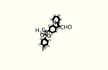 CN(C1CCc2c(C=O)c3ccccn3c2C1)S(=O)(=O)c1ccc(F)cc1